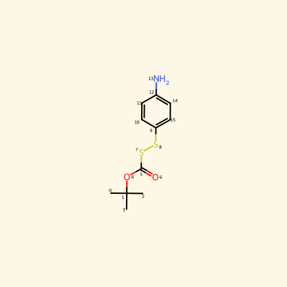 CC(C)(C)OC(=O)SSc1ccc(N)cc1